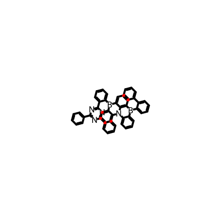 c1ccc(-c2nc(-c3ccccc3)nc(-c3ccccc3B3c4ccccc4N4c5ccccc5B(c5ccccc5-c5ccccc5)c5cccc3c54)n2)cc1